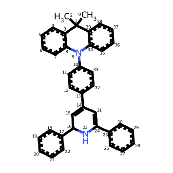 CC1(C)c2ccccc2N(c2ccc(C3=CC(c4ccccc4)NC(c4ccccc4)=C3)cc2)c2ccccc21